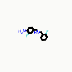 Nc1ccc(CNCc2ccccc2F)cc1F